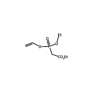 C=COP(=O)(CC(=O)OCC)OCC